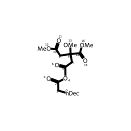 CCCCCCCCCCCC(=O)OC(=O)CC(CC(=O)OC)(OC)C(=O)OC